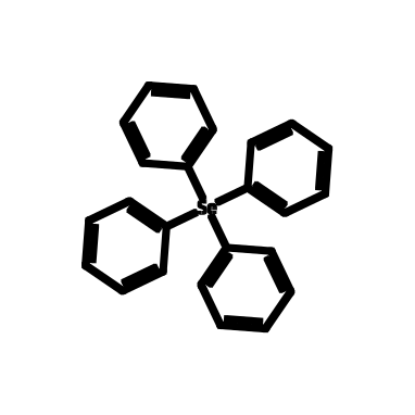 c1ccc([Se](c2ccccc2)(c2ccccc2)c2ccccc2)cc1